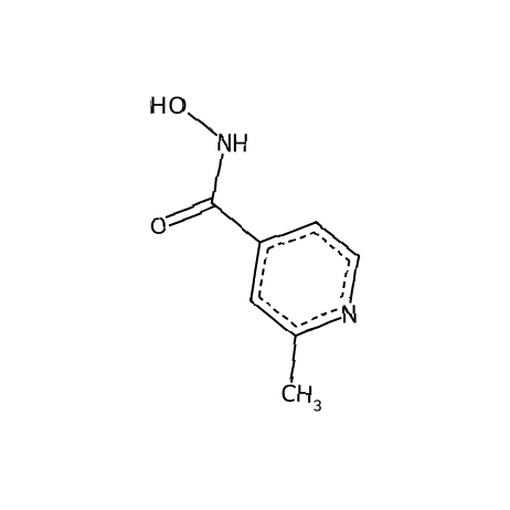 Cc1cc(C(=O)NO)ccn1